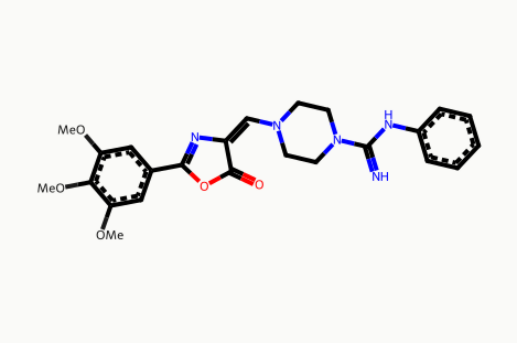 COc1cc(C2=NC(=CN3CCN(C(=N)Nc4ccccc4)CC3)C(=O)O2)cc(OC)c1OC